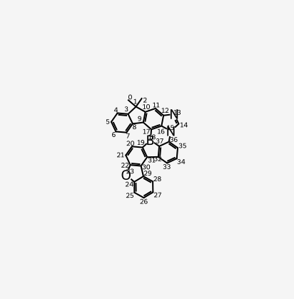 CC1(C)c2ccccc2-c2c1cc1ncn3c1c2B1c2ccc4oc5ccccc5c4c2-c2cccc-3c21